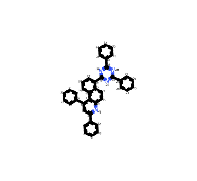 c1ccc(-c2cc(-c3ccccc3)c3c(ccc4c(-c5nc(-c6ccccc6)nc(-c6ccccc6)n5)cccc43)n2)cc1